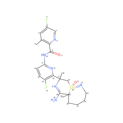 Cc1cc(F)cnc1C(=O)Nc1ccc(F)c(C2(C)CS3(=O)=NCCCCC3(C)C(N)=N2)n1